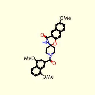 COc1ccc2cc3c(cc2c1)C(=O)NC1(CCN(C(=O)c2cc(OC)c4cccc(OC)c4c2)CC1)O3